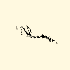 CCCC(=O)NCCCCCCCCOC